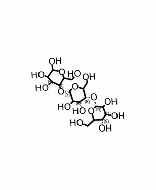 OCC1O[C@H](O[C@H]2C(CO)O[C@@H](O[C@@H]3C(CO)OC(O)C(O)[C@@H]3O)C(O)[C@H]2O)C(O)[C@@H](O)[C@@H]1O